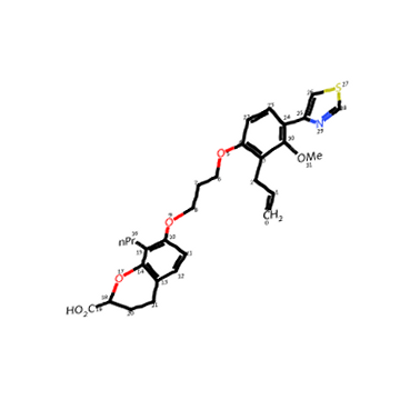 C=CCc1c(OCCCOc2ccc3c(c2CCC)OC(C(=O)O)CC3)ccc(-c2cscn2)c1OC